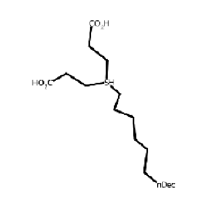 CCCCCCCCCCCCCCCC[SH](CCC(=O)O)CCC(=O)O